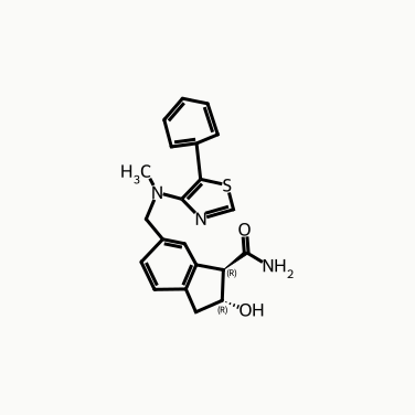 CN(Cc1ccc2c(c1)[C@@H](C(N)=O)[C@H](O)C2)c1ncsc1-c1ccccc1